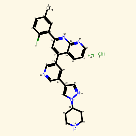 Cl.Cl.Fc1ccc(C(F)(F)F)cc1-c1cc(-c2cncc(-c3cnn(C4CCNCC4)c3)c2)c2cccnc2n1